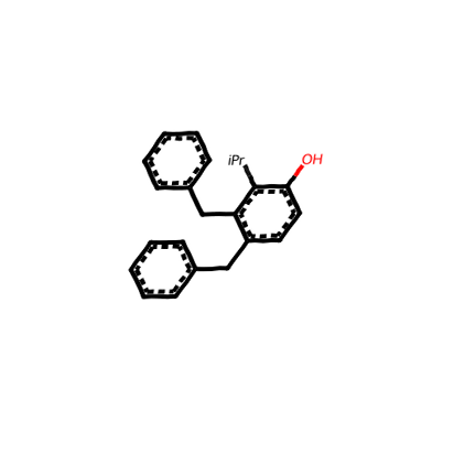 CC(C)c1c(O)ccc(Cc2ccccc2)c1Cc1ccccc1